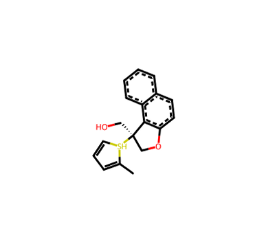 CC1=CC=C[SH]1[C@]1(CO)COc2ccc3ccccc3c21